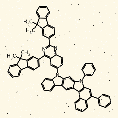 CC1(C)c2ccccc2-c2ccc(-c3nc(-c4ccc5c(c4)C(C)(C)c4ccccc4-5)c4cc(-n5c6ccccc6c6cc7c8c9ccccc9c(-c9ccccc9)cc8n(-c8ccccc8)c7cc65)ccc4n3)cc21